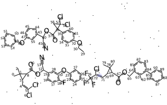 CC1(C)C(C=C(Cl)Cl)C1C(=O)OC(C#N)c1ccc(F)c(Oc2ccccc2)c1.CCOc1ccc(C2(C(=O)OC(C#N)c3cccc(Oc4ccccc4)c3)CC2(Cl)Cl)cc1.Cc1c(COC(=O)C2C(/C=C(\Cl)C(F)(F)F)C2(C)C)cccc1-c1ccccc1